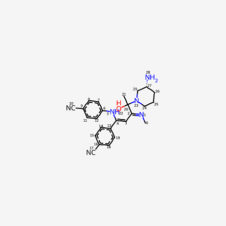 C/N=C(\C=C(/Nc1ccc(C#N)cc1)c1ccc(C#N)cc1)C(C)(O)N1CCC[C@@H](N)C1